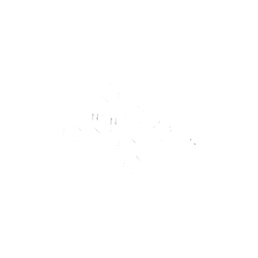 N#Cc1ccc2c(c1)C1(CCCCC1)c1cc(-c3ccccc3-c3nc(-c4ccccc4)cc(-c4ccc5ccccc5c4)n3)ccc1-2